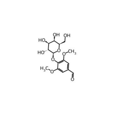 COc1cc(C=O)cc(OC)c1O[C@@H]1O[C@H](CO)[C@H](O)[C@H](O)[C@H]1O